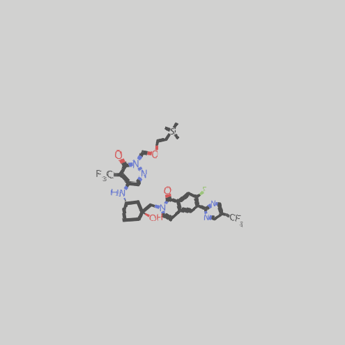 C[Si](C)(C)CCOCn1ncc(N[C@H]2CCC[C@@](O)(Cn3ccc4cc(-c5ncc(C(F)(F)F)cn5)c(F)cc4c3=O)C2)c(C(F)(F)F)c1=O